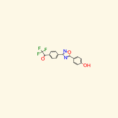 O=C(c1ccc(-c2noc(-c3ccc(O)cc3)n2)cc1)C(F)(F)F